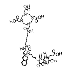 O=C(O)CC[C@H](NC(=O)N[C@@H](CCCCNC(=O)C(Cc1ccc2ccccc2c1)NC(=O)CCCCCNC(=O)CN1CCN(CC(=O)O)CCN(CC(=O)O)CCN(CC(=O)O)CC1)C(=O)O)C(=O)O